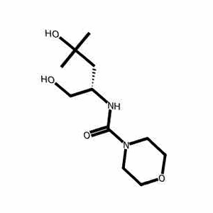 CC(C)(O)C[C@@H](CO)NC(=O)N1CCOCC1